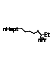 CCCCCCCCCCC[CH]C(CC)CCC